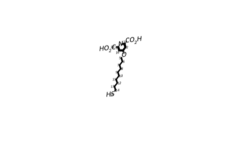 O=C(O)c1cc(OCCCCCCCCCCS)cc(C(=O)O)n1